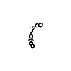 O=C(/C=C\c1cccnc1)NCCCCC1CCN(S(=O)(=O)c2ccc3ccccc3c2)CC1